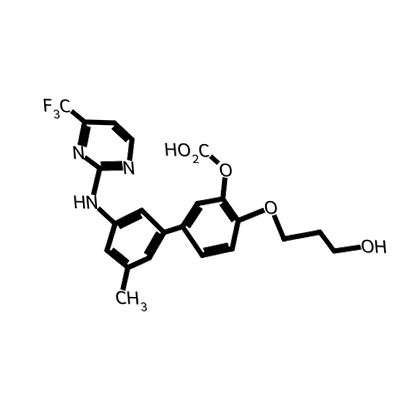 Cc1cc(Nc2nccc(C(F)(F)F)n2)cc(-c2ccc(OCCCO)c(OC(=O)O)c2)c1